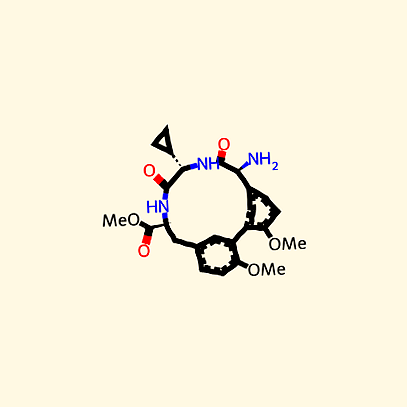 COC(=O)[C@@H]1Cc2ccc(OC)c(c2)-c2cc(ccc2OC)[C@H](N)C(=O)N[C@@H](C2CC2)C(=O)N1